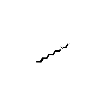 [CH2]CSCCCCCC=CC